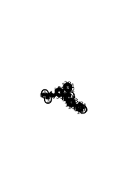 COC(=O)/C=C/c1cccc(N(Cc2ccc(N3CCOCC3)cc2)C(=O)C2CCCCC2)c1